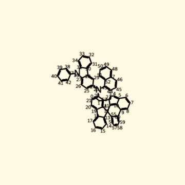 CCc1ccc2cccc3c2c1C1(c2ccccc2-c2ccc(N(c4ccc5c(c4)c4ccccc4n5-c4ccccc4)c4cccc5ccccc45)cc21)c1ccccc1-3